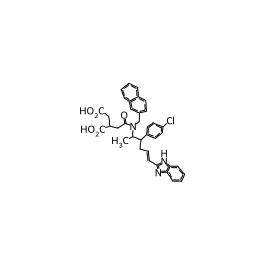 CC(C(C/C=C/c1nc2ccccc2[nH]1)c1ccc(Cl)cc1)N(Cc1ccc2ccccc2c1)C(=O)CC(CC(=O)O)C(=O)O